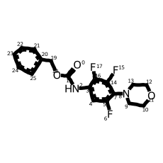 O=C(Nc1cc(F)c(N2CCOCC2)c(F)c1F)OCc1ccccc1